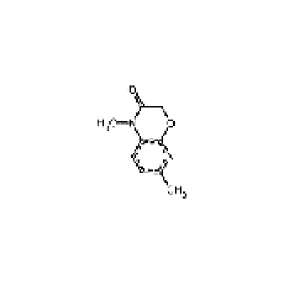 Cc1ccc2c(n1)OCC(=O)N2C